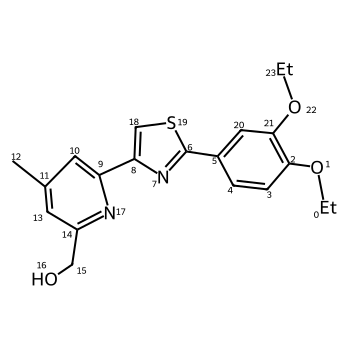 CCOc1ccc(-c2nc(-c3cc(C)cc(CO)n3)cs2)cc1OCC